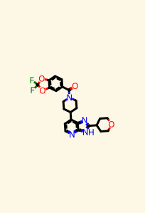 O=C(c1ccc2c(c1)OC(F)(F)O2)N1CCC(c2ccnc3[nH]c(C4CCOCC4)nc23)CC1